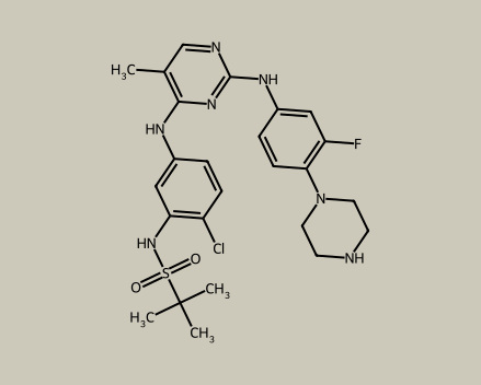 Cc1cnc(Nc2ccc(N3CCNCC3)c(F)c2)nc1Nc1ccc(Cl)c(NS(=O)(=O)C(C)(C)C)c1